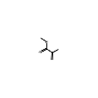 C=C(C)C(=O)[N]C